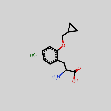 Cl.N[C@@H](Cc1ccccc1OCC1CC1)C(=O)O